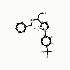 CCC(N[C@H](C)c1ccccc1)c1ccn(-c2ccc(C(F)(F)F)cc2)n1